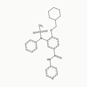 CS(=O)(=O)N(c1ccccc1)c1cc(C(=O)Nc2ccncc2)ccc1OCC1CCCCC1